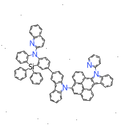 c1ccc([Si]2(c3ccccc3)c3ccccc3N(c3ccc4ccccc4n3)c3ccc(-c4ccc5c(c4)c4ccccc4n5-c4cc5cccc6c5c5c4cccc5c4c6c5ccccc5n4-c4ccccn4)cc32)cc1